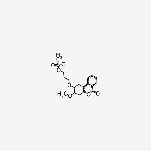 COC1Cc2oc(=O)c3ccccc3c2CC1OCCCOS(C)(=O)=O